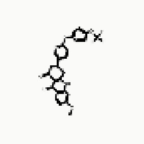 COc1ccc2c(=O)c3c([nH]c2c1)CC(c1ccc(Oc2ccc(OC(F)(F)F)cc2)nc1)CC3=O